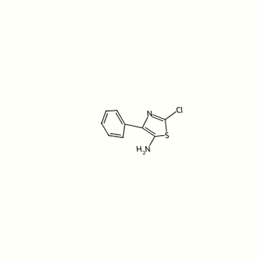 Nc1sc(Cl)nc1-c1ccccc1